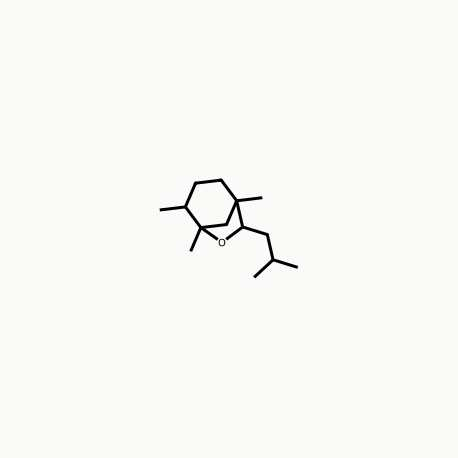 CC(C)CC1OC2(C)CC1(C)CCC2C